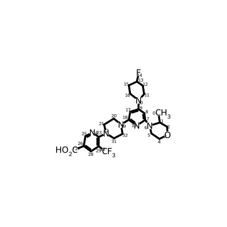 CC1COCCN1c1cc(N2CCC(F)CC2)cc(N2CCN(c3ncc(C(=O)O)cc3C(F)(F)F)CC2)n1